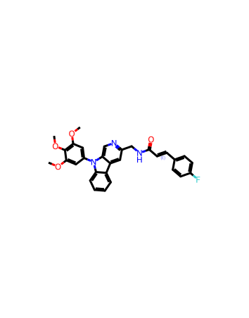 COc1cc(-n2c3ccccc3c3cc(CNC(=O)/C=C/c4ccc(F)cc4)ncc32)cc(OC)c1OC